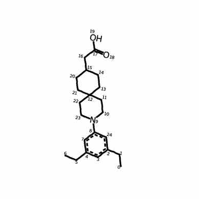 CCc1cc(CC)cc(N2CCC3(CCC(CC(=O)O)CC3)CC2)c1